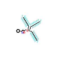 FC(F)(F)C(F)(F)C(F)(F)C(F)(F)C(F)(F)C(F)(F)CC[Si](CCC(F)(F)C(F)(F)C(F)(F)C(F)(F)C(F)(F)C(F)(F)F)(CCC(F)(F)C(F)(F)C(F)(F)C(F)(F)C(F)(F)C(F)(F)F)OCc1cc(-c2ccccc2)no1